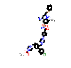 CN(C)CCC(CSc1ccccc1)Nc1ccc(S(=O)(=O)NC(=O)c2ccc(N3CCN(CC4=C(c5ccc(Cl)cc5)CCC(C)(CN5CCN(C(=O)OC(C)(C)C)CC5)C4)CC3)cc2)cc1[N+](=O)[O-]